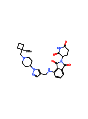 COC1(CN2CCC(n3cc(CNc4cccc5c4C(=O)N(C4CCC(=O)NC4=O)C5=O)cn3)CC2)CCC1